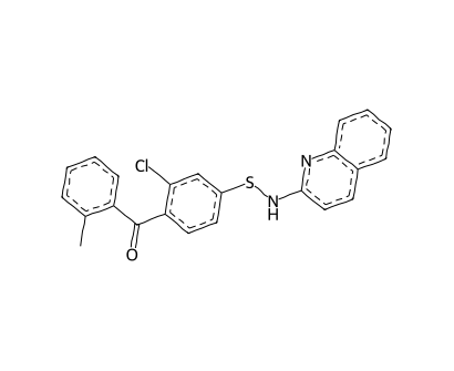 Cc1ccccc1C(=O)c1ccc(SNc2ccc3ccccc3n2)cc1Cl